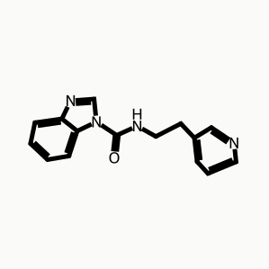 O=C(NCCc1cccnc1)n1cnc2ccccc21